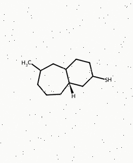 CC1CCC[C@H]2CC(S)CCC2C1